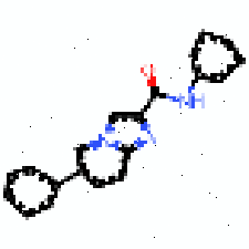 O=C(Nc1ccccc1)c1cn2cc(-c3ccccc3)ccc2n1